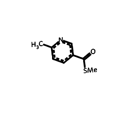 CSC(=O)c1ccc(C)nc1